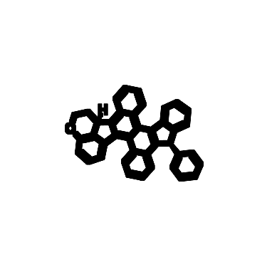 c1ccc([C@@H]2c3ccccc3-c3c2c2ccccc2c2c4c(c5ccccc5c32)[C@@H]2CCOc3cccc-4c32)cc1